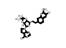 CC1(C)OC2[C@@H](O1)[C@H](n1ccc3c(Cl)ncnc31)O[C@@H]2CCc1ccc2cc(Cl)c(N)nc2c1